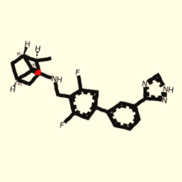 C=C1[C@H]2CC(NCc3c(F)cc(-c4cccc(-c5nc[nH]n5)c4)cc3F)[C@H](C)[C@H]1C2